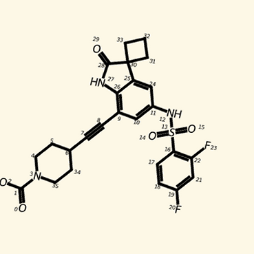 O=C(O)N1CCC(C#Cc2cc(NS(=O)(=O)c3ccc(F)cc3F)cc3c2NC(=O)C32CCC2)CC1